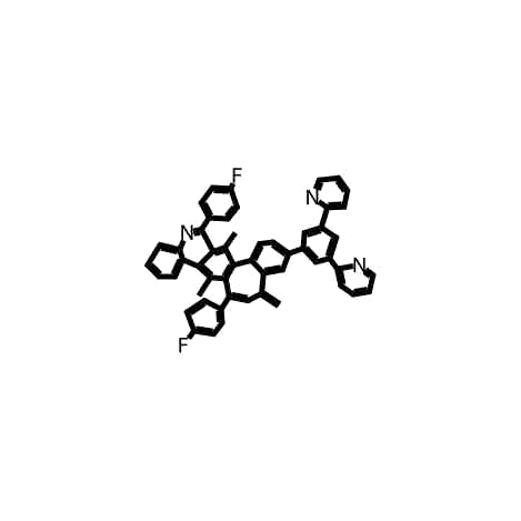 C=C1C=C(c2ccc(F)cc2)c2c(c(C)c3c(-c4ccc(F)cc4)nc4ccccc4c3c2C)-c2ccc(-c3cc(-c4ccccn4)cc(-c4ccccn4)c3)cc21